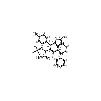 Cc1c([C@H](OC(C)(C)C)C(=O)O)c(-c2ccc(Cl)cc2)c2cc(C)n3c2c1N(c1ccncc1)CC3